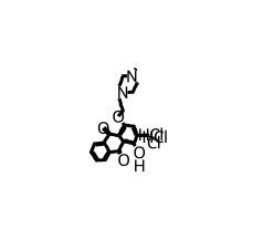 CN1CCN(CCOc2cc(CCl)c(O)c3c2C(=O)c2ccccc2C3=O)CC1.Cl.Cl